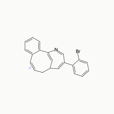 Brc1ccccc1C1=CC2C=C(N=C1)c1ccccc1/C=C\C2